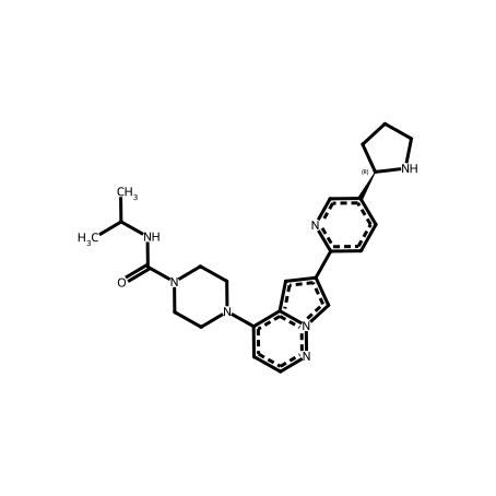 CC(C)NC(=O)N1CCN(c2ccnn3cc(-c4ccc([C@H]5CCCN5)cn4)cc23)CC1